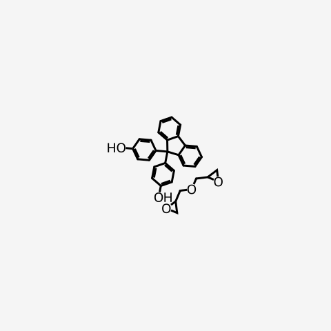 C(OCC1CO1)C1CO1.Oc1ccc(C2(c3ccc(O)cc3)c3ccccc3-c3ccccc32)cc1